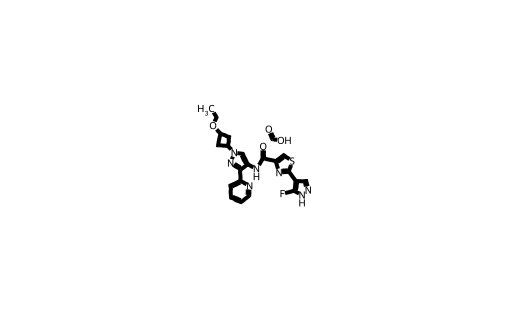 CCOC1CC(n2cc(NC(=O)c3csc(-c4cn[nH]c4F)n3)c(-c3ccccn3)n2)C1.O=CO